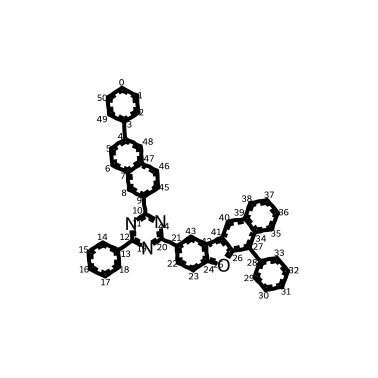 c1ccc(-c2ccc3cc(-c4nc(-c5ccccc5)nc(-c5ccc6oc7c(-c8ccccc8)c8ccccc8cc7c6c5)n4)ccc3c2)cc1